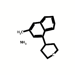 Cc1cc(C2CCCCC2)c2ccccc2c1.N